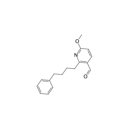 COc1ccc(C=O)c(CCCCc2ccccc2)n1